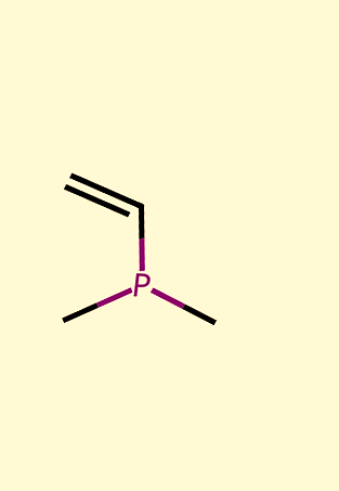 C=CP(C)C